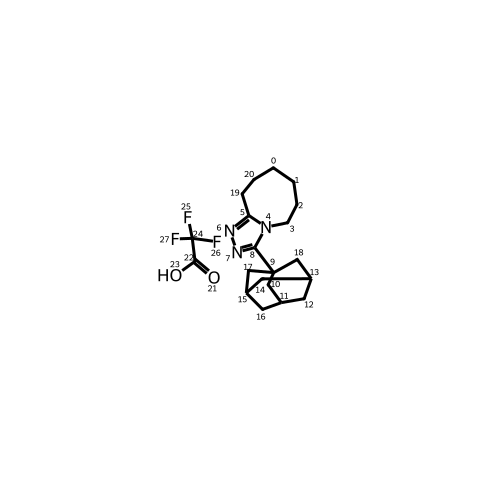 C1CCCn2c(nnc2C23CC4CC(CC(C4)C2)C3)CC1.O=C(O)C(F)(F)F